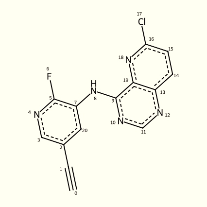 C#Cc1cnc(F)c(Nc2ncnc3ccc(Cl)nc23)c1